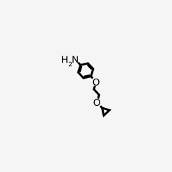 Nc1ccc(OCCOC2CC2)cc1